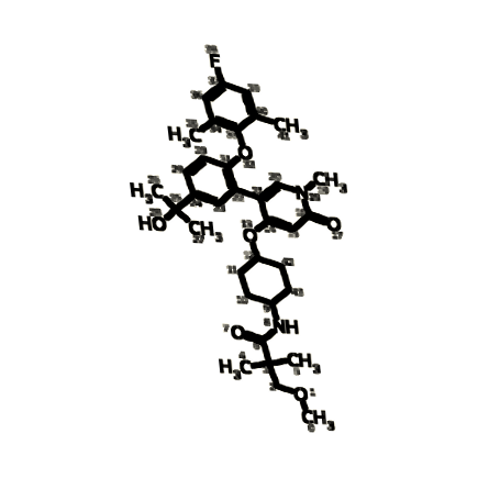 COCC(C)(C)C(=O)NC1CCC(Oc2cc(=O)n(C)cc2-c2cc(C(C)(C)O)ccc2Oc2c(C)cc(F)cc2C)CC1